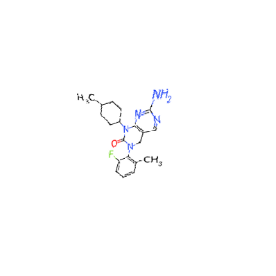 Cc1cccc(F)c1N1Cc2cnc(N)nc2N(C2CCC(C)CC2)C1=O